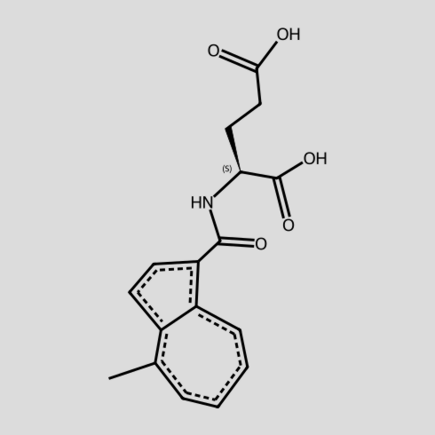 Cc1ccccc2c(C(=O)N[C@@H](CCC(=O)O)C(=O)O)ccc1-2